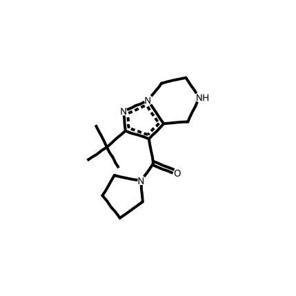 CC(C)(C)c1nn2c(c1C(=O)N1CCCC1)CNCC2